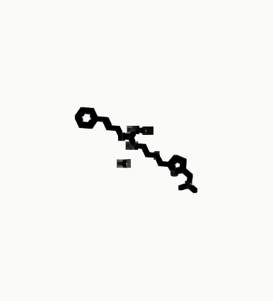 CN(C)Cc1ccc(CSCCNC(=NCC=Cc2ccccc2)NC#N)o1.Cl